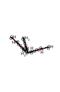 CC(COCCC(=O)NCCOCCOCCOCCC(N)=O)(COCCC(=O)NCCOCCOCCOCCC(=O)NCCCCCCCC(=O)O)COCCC(=O)NCCOCCOCCOCCC(=O)NCCCCCCCC(=O)O